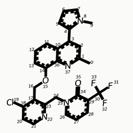 Cc1cc(-c2cccn2C)c2cccc(OCc3c(Cl)ccnc3Cn3cccc(C(F)(F)F)c3=O)c2n1